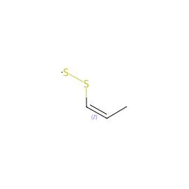 C/C=C\S[S]